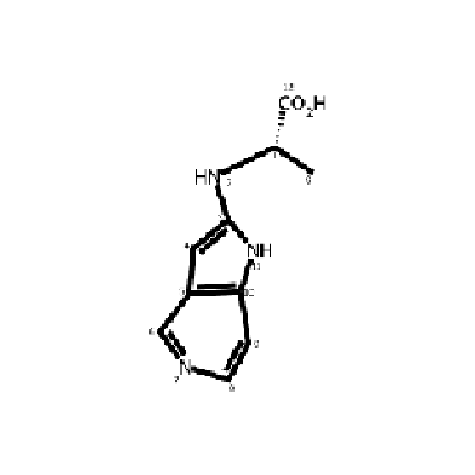 C[C@H](Nc1cc2cnccc2[nH]1)C(=O)O